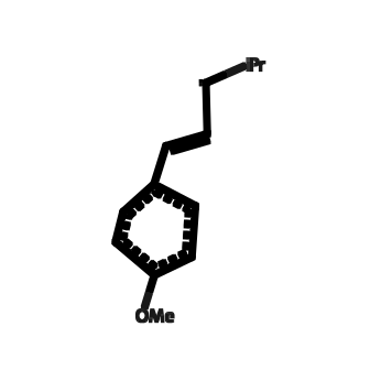 COc1ccc(C=C[C]C(C)C)cc1